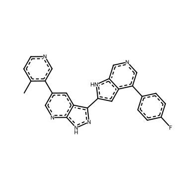 Cc1ccncc1-c1cnc2[nH]nc(-c3cc4c(-c5ccc(F)cc5)cncc4[nH]3)c2c1